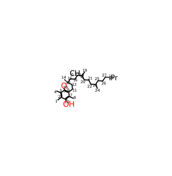 C.Cc1c(C)c2c(c(C)c1O)CC[C@@](C)(CCCC(C)CCCC(C)CCCC(C)C)O2